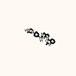 CC(=O)N(C)c1ccccc1Cn1ccc2cnc(Nc3ccc(N4CCNC(C)C4)cc3)nc21